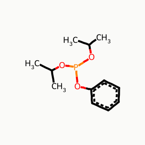 CC(C)OP(Oc1ccccc1)OC(C)C